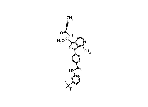 CC#CC(=O)N[C@@H](C)c1nc(-c2ccc(C(=O)Nc3cc(C(F)(F)F)ccn3)cc2)c2c(C)nccn12